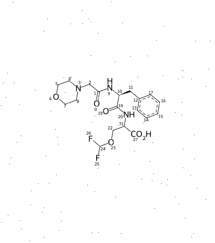 O=C(CN1CCOCC1)N[C@@H](Cc1ccccc1)C(=O)NC(COC(F)F)C(=O)O